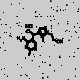 Cc1ncc(C(Cl)[n+]2csc(CCO)c2C)c(N)n1.Cl